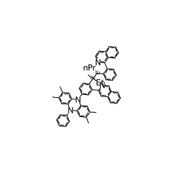 CCC[C@H](c1ccccc1-c1nccc2ccccc12)[C@](C)(CC)c1ccc(N2c3cc(C)c(C)cc3N(c3ccccc3)c3cc(C)c(C)cc32)cc1-c1cc2ccccc2cn1